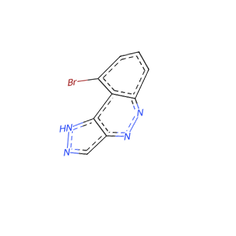 Brc1cccc2nnc3cn[nH]c3c12